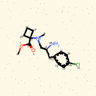 COC(=O)C1(N(C)C[C@@H](N)Cc2ccc(Cl)cc2)CCC1